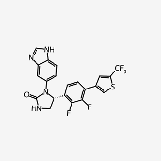 O=C1NC[C@@H](c2ccc(-c3csc(C(F)(F)F)c3)c(F)c2F)N1c1ccc2[nH]cnc2c1